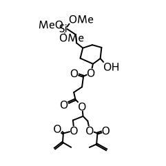 C=C(C)C(=O)OCC(COC(=O)C(=C)C)OC(=O)CCC(=O)OC1CC(CC[Si](OC)(OC)OC)CCC1O